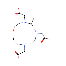 CC1CN(CC(=O)O)CCN(CC(=O)O)CCOCCN1CC(=O)O